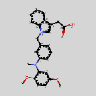 COc1ccc(OC)c(N(C)c2cccc(Cn3cc(CC(=O)O)c4ccccc43)c2)c1